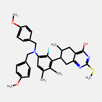 COc1ccc(CN(Cc2ccc(OC)cc2)c2cc(C)c(C)c(C3Cc4nc(SC)nc(O)c4CC3C)c2F)cc1